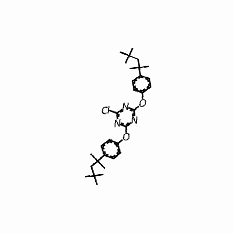 CC(C)(C)CC(C)(C)c1ccc(Oc2nc(Cl)nc(Oc3ccc(C(C)(C)CC(C)(C)C)cc3)n2)cc1